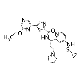 CCOc1cncc(-c2cnc(C(=O)N[C@@H](CCN3CCCC3)c3cc(NSC4CC4)ccn3)s2)n1